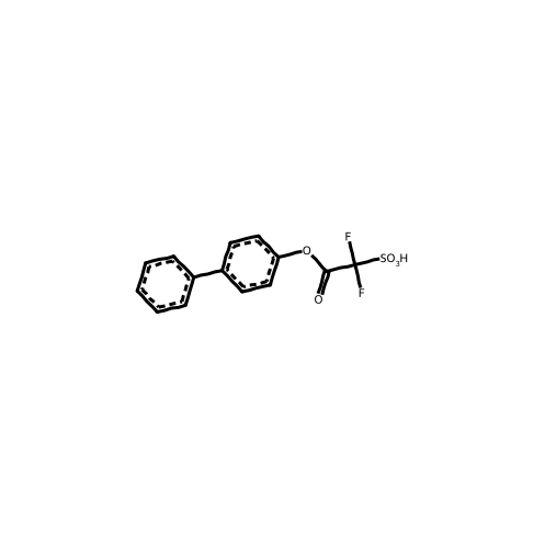 O=C(Oc1ccc(-c2ccccc2)cc1)C(F)(F)S(=O)(=O)O